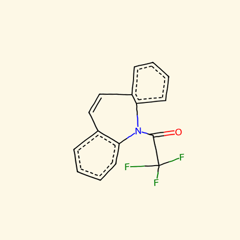 O=C(N1c2ccccc2C=Cc2ccccc21)C(F)(F)F